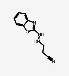 N#CCCNNc1nc2ccccc2o1